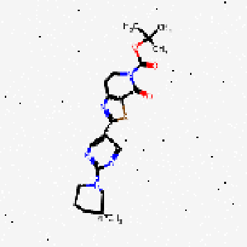 C[C@H]1CCCN(c2ncc(-c3nc4c(s3)C(=O)N(C(=O)OC(C)(C)C)CC4)cn2)C1